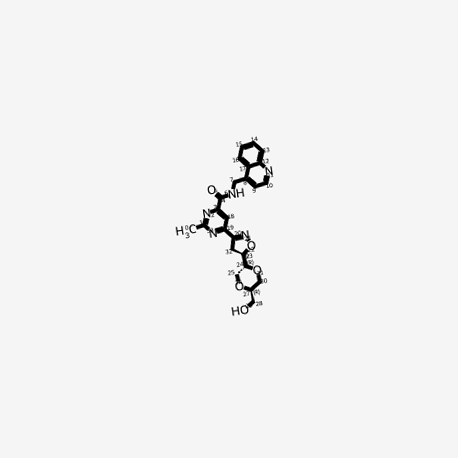 Cc1nc(C(=O)NCc2ccnc3ccccc23)cc(C2=NO[C@@H]([C@H]3CO[C@H](CO)CO3)C2)n1